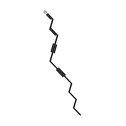 CCCCCC#CCC#CC=CC=O